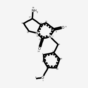 COc1ccc(Cn2c(=O)cc3n(c2=O)CCC3N)cc1